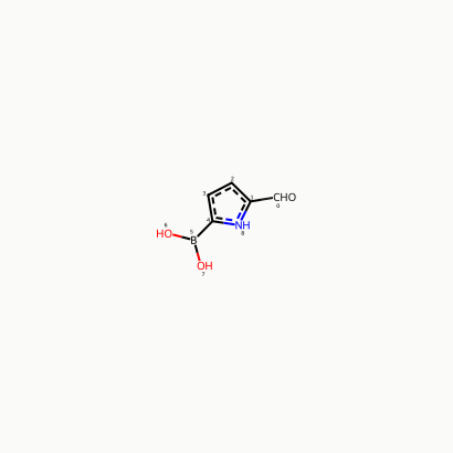 O=Cc1ccc(B(O)O)[nH]1